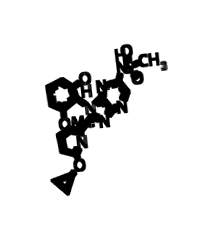 COc1cccc(O)c1-n1c(C2=C=C=CC(OC3CC3)=N2)nc2ncc(NS(C)(=O)=O)nc21